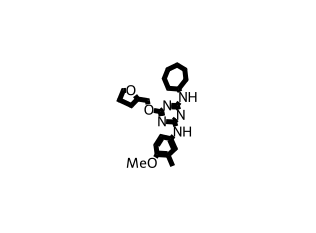 COc1ccc(Nc2nc(NC3CCCCCC3)nc(OCC3CCCO3)n2)cc1C